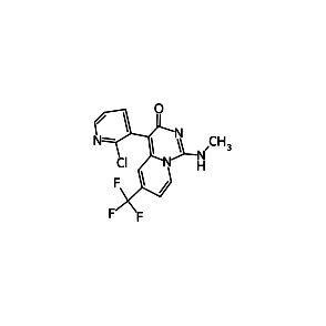 CNc1nc(=O)c(-c2cccnc2Cl)c2cc(C(F)(F)F)ccn12